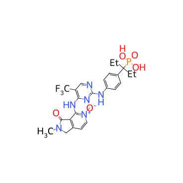 CCC(CC)(c1ccc(Nc2ncc(C(F)(F)F)c(Nc3c4c(cc[n+]3[O-])CN(C)C4=O)n2)cc1)P(=O)(O)O